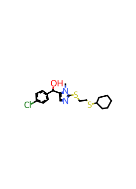 Cn1c(C(O)c2ccc(Cl)cc2)cnc1SCCSC1CCCCC1